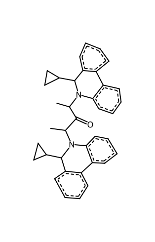 CC(C(=O)C(C)N1c2ccccc2-c2ccccc2C1C1CC1)N1c2ccccc2-c2ccccc2C1C1CC1